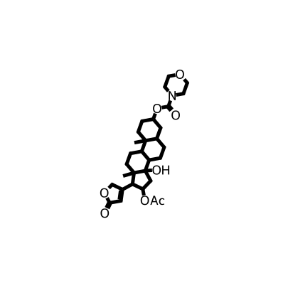 CC(=O)OC1CC2(O)C3CCC4CC(OC(=O)N5CCOCC5)CCC4(C)C3CCC2(C)C1C1=CC(=O)OC1